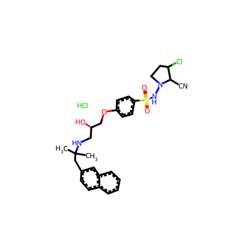 CC(C)(Cc1ccc2ccccc2c1)NC[C@@H](O)COc1ccc(S(=O)(=O)NN2CCC(Cl)C2C#N)cc1.Cl